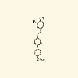 COc1ccc(-c2ccc(CCc3ccc(C#N)c(F)c3)cc2)cc1